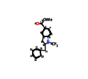 COC(=O)c1ccc2c(c1)CC(Cc1ccccc1)N2C(F)(F)F